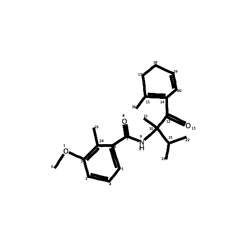 COc1cccc(C(=O)NC(C)(C(=O)C2=C(C)CCC=C2)C(C)C)c1C